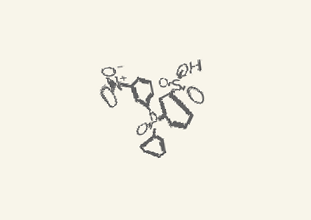 O=[N+]([O-])c1cccc(P(=O)(c2ccccc2)c2cccc(S(=O)(=O)O)c2)c1